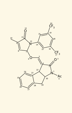 CC(=O)N1C(=O)/C(=C/OC2C=C(C)C(=O)N2c2cc(C(F)(F)F)cc(C(F)(F)F)c2)C2c3ccccc3CC21